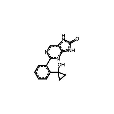 O=c1[nH]c2cnc(-c3ccccc3C3(O)CC3)nc2[nH]1